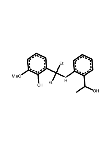 CCC(CC)(Pc1ccccc1C(C)O)c1cccc(OC)c1O